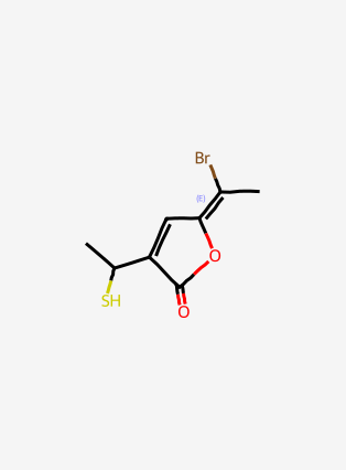 C/C(Br)=C1/C=C(C(C)S)C(=O)O1